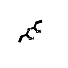 C=CC(O)[N+]C(O)C=C